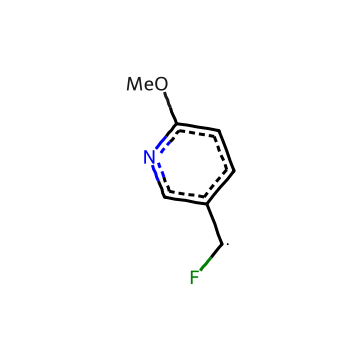 COc1ccc([CH]F)cn1